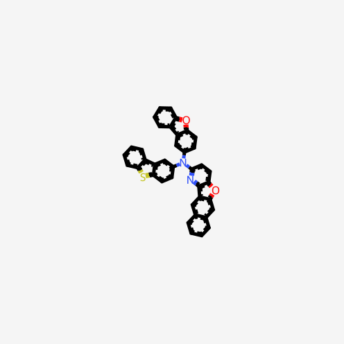 c1ccc2cc3c(cc2c1)oc1ccc(N(c2ccc4oc5ccccc5c4c2)c2ccc4sc5ccccc5c4c2)nc13